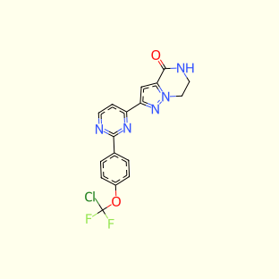 O=C1NCCn2nc(-c3ccnc(-c4ccc(OC(F)(F)Cl)cc4)n3)cc21